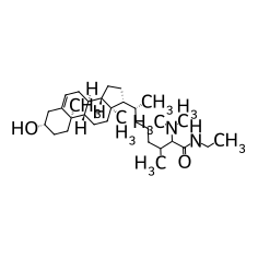 CCNC(=O)C(C(C)CCC[C@@H](C)[C@H]1CC[C@H]2[C@@H]3CC=C4C[C@@H](O)CC[C@]4(C)[C@H]3CC[C@]12C)N(C)C